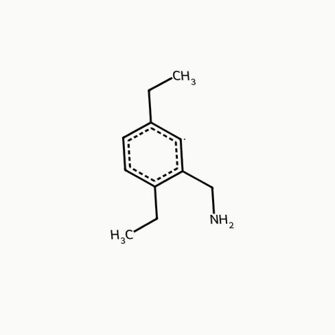 CCc1[c]c(CN)c(CC)cc1